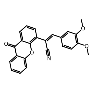 COc1ccc(C=C(C#N)c2cccc3c(=O)c4ccccc4oc23)cc1OC